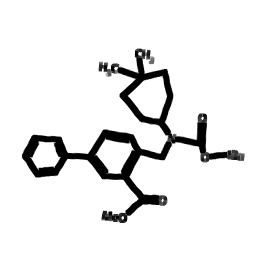 COC(=O)c1cc(-c2ccccc2)ccc1CN(C(=O)OC(C)(C)C)C1CCC(C)(C)CC1